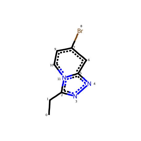 CCc1nnc2cc(Br)ccn12